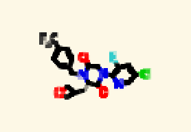 O=C1[C@H](CC2COC2)N(Cc2ccc(C(F)(F)F)cc2)C(=O)CN1c1ncc(Cl)cc1F